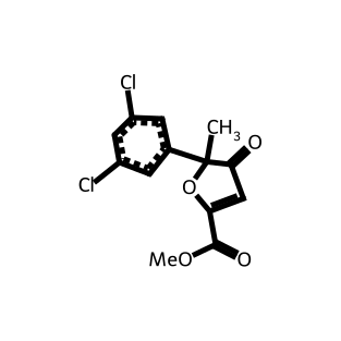 COC(=O)C1=CC(=O)C(C)(c2cc(Cl)cc(Cl)c2)O1